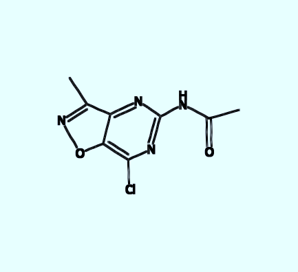 CC(=O)Nc1nc(Cl)c2onc(C)c2n1